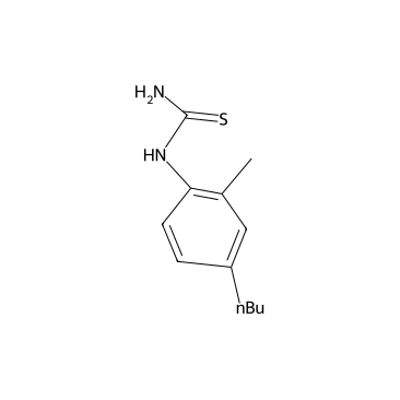 CCCCc1ccc(NC(N)=S)c(C)c1